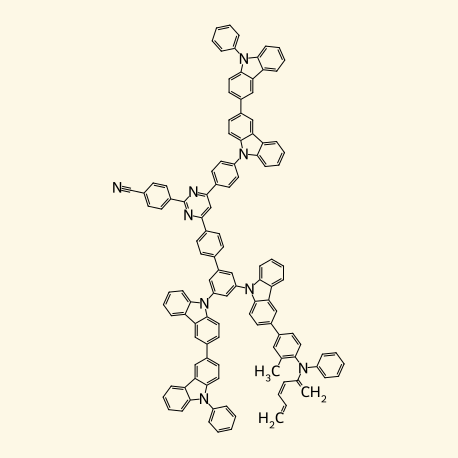 C=C/C=C\C(=C)N(c1ccccc1)c1ccc(-c2ccc3c(c2)c2ccccc2n3-c2cc(-c3ccc(-c4cc(-c5ccc(-n6c7ccccc7c7cc(-c8ccc9c(c8)c8ccccc8n9-c8ccccc8)ccc76)cc5)nc(-c5ccc(C#N)cc5)n4)cc3)cc(-n3c4ccccc4c4cc(-c5ccc6c(c5)c5ccccc5n6-c5ccccc5)ccc43)c2)cc1C